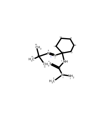 CN(N)C(=S)NC1(/N=N/C(C)(C)C)CCCCC1